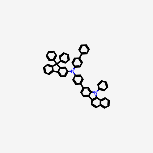 c1ccc(-c2ccc(N(c3ccc(-c4ccc5c6ccc7ccccc7c6n(-c6ccccc6)c5c4)cc3)c3ccc4c(c3)C(c3ccccc3)(c3ccccc3)c3ccccc3-4)cc2)cc1